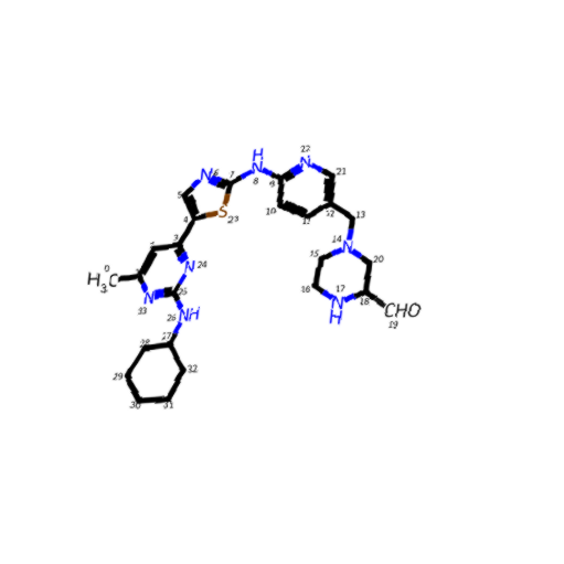 Cc1cc(-c2cnc(Nc3ccc(CN4CCNC(C=O)C4)cn3)s2)nc(NC2CCCCC2)n1